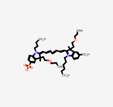 COCCOCCC1(C)C(/C=C/C=C/C=C/C=C2/N(CCCS(=O)(=O)O)c3ccc(S(=O)(=O)[O-])cc3C2(C)CCOCCOC)=[N+](CCCCCC(=O)O)c2ccc(S(=O)(=O)O)cc21